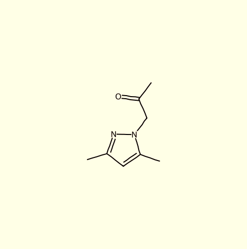 CC(=O)Cn1nc(C)cc1C